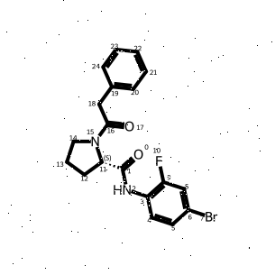 O=C(Nc1ccc(Br)cc1F)[C@@H]1CCCN1C(=O)Cc1ccccc1